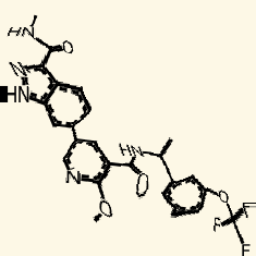 CNC(=O)c1n[nH]c2cc(-c3cnc(OC)c(C(=O)NC(C)c4cccc(OC(F)(F)F)c4)c3)ccc12